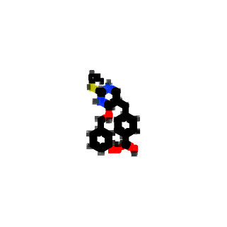 CSc1ncc(Cc2ccc(C(=O)O)cc2)c(OCc2ccccc2)n1